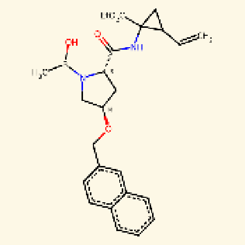 C=CC1CC1(NC(=O)[C@@H]1C[C@@H](OCc2ccc3ccccc3c2)CN1B(C)O)C(=O)OCC